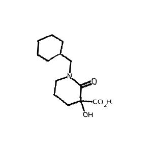 O=C(O)C1(O)CCCN(CC2CCCCC2)C1=O